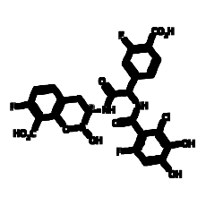 O=C(O)c1ccc(C(NC(=O)c2c(F)cc(O)c(O)c2Cl)C(=O)N[C@H]2Cc3ccc(F)c(C(=O)O)c3OB2O)cc1F